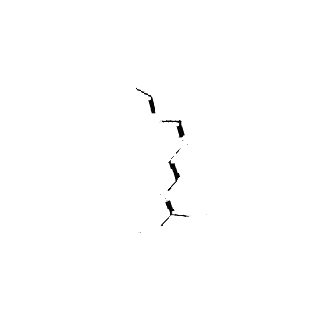 C/C=N/C=N\C=C\N=C(C)C